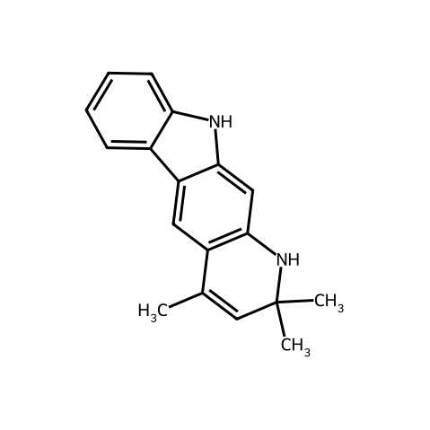 CC1=CC(C)(C)Nc2cc3[nH]c4ccccc4c3cc21